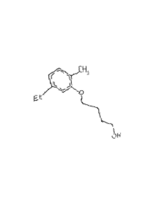 CCc1ccc(C)c(OCCCCO)c1